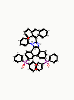 O=P(c1ccccc1)(c1ccccc1)c1ccc2c(c1)c1cc(P(=O)(c3ccccc3)c3ccccc3)ccc1c1c2nc(-c2c3ccccc3cc3ccccc23)n1-c1ccccc1